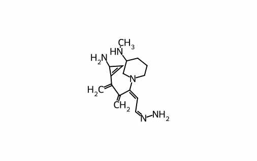 C=C(C(=C)/C(=C\C=N/N)N1CCCC(NC)C1)C1=CC1N